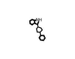 c1ccc(C2CCC(c3c[nH]c4ccccc34)CC2)cc1